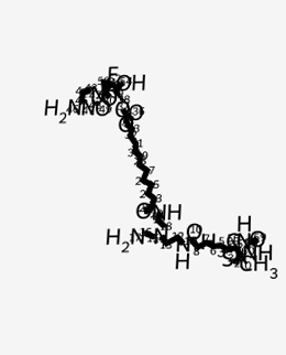 C[C@@]12CSC(CCCCC(=O)NCCN(CCN)CCNC(=O)CCCCCCCCCCCOC(=O)OC[C@H]3OC4(n5ccc(N)nc5=O)CC4(F)C3O)[C@]1(C)NC(=O)N2